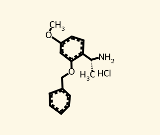 COc1ccc([C@@H](C)N)c(OCc2ccccc2)c1.Cl